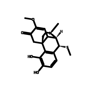 COC1=CC2[C@@H]3[C@H](SC)c4ccc(O)c(O)c4[C@]2(CCN3C)CC1=O